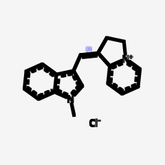 Cn1cc(/C=C2/CC[n+]3ccccc32)c2ccccc21.[Cl-]